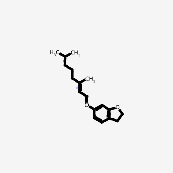 C/C(=C\COc1ccc2c(c1)OCC2)CCCC(C)C